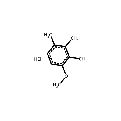 COc1ccc(C)c(C)c1C.Cl